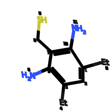 CCc1cc(CC)c(N)c(CS)c1N